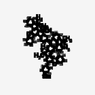 CC(C)(C)c1ccc(-c2cc3c(c4c2oc2ccccc24)-c2ccc(N(c4ccc5c(c4)C(C)(C)c4c6c(c7oc8ccccc8c7c4-5)-c4ccccc4C6(C)C)c4cccc5c4-c4ccccc4C5(C)C)cc2C3(C)C)cc1